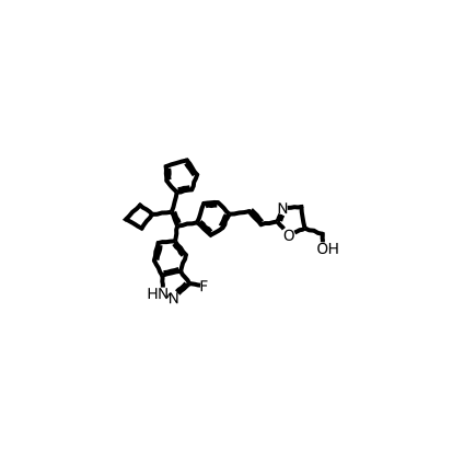 OCC1CN=C(C=Cc2ccc(/C(=C(\c3ccccc3)C3CCC3)c3ccc4[nH]nc(F)c4c3)cc2)O1